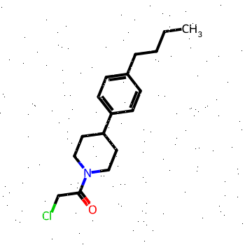 CCCCc1ccc(C2CCN(C(=O)CCl)CC2)cc1